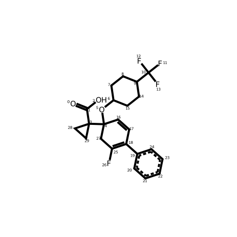 O=C(O)C1(C2(OC3CCC(C(F)(F)F)CC3)C=CC(c3ccccc3)=C(F)C2)CC1